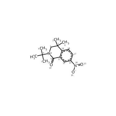 CC1(C)CN(C(C)(C)C)C(=O)c2cc([N+](=O)[O-])ccc21